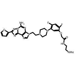 CNCCNC(=O)COc1cc(N2CCN(CCn3cnc4c3nc(N)n3nc(-c5ccco5)nc43)CC2)c(F)cc1F